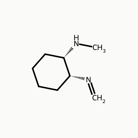 C=N[C@@H]1CCCC[C@@H]1NC